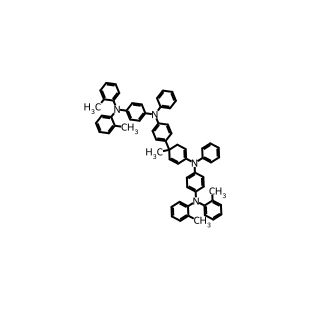 Cc1ccccc1N(c1ccc(N(C2=CCC(C)(c3ccc(N(c4ccccc4)c4ccc(N(c5ccccc5C)c5ccccc5C)cc4)cc3)C=C2)c2ccccc2)cc1)c1ccccc1C